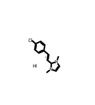 CN1C=CN(C)C1/C=C/c1ccc(Cl)cc1.I